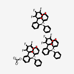 Fc1c(F)c(F)c(-c2ccccc2[C+](c2ccccc2)c2ccccc2)c(F)c1F.Fc1c(F)c(F)c(-c2ccccc2[C+](c2ccccc2)c2ccccc2)c(F)c1F.Fc1c(F)c(F)c(-c2ccccc2[C+](c2ccccc2)c2ccccc2)c(F)c1F.[O-]B([O-])[O-]